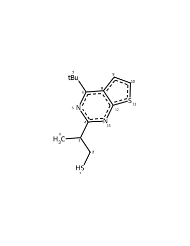 CC(CS)c1nc(C(C)(C)C)c2ccsc2n1